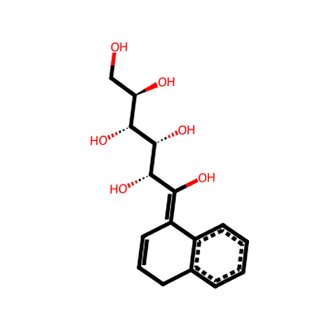 OC[C@@H](O)[C@@H](O)[C@H](O)[C@@H](O)C(O)=C1C=CCc2ccccc21